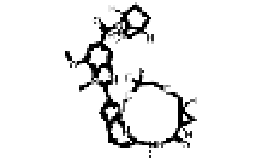 COc1cc(C(=O)N2C[C@H]3CC[C@@H]2[C@@H]3N)cc2nc(-c3cc4ccc5nc4n3CC(F)(F)CCC[C@@H]3C[C@H]3C(=O)N[C@@H]5C)n(C)c12